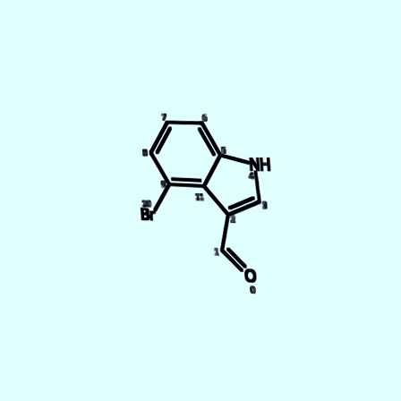 O=Cc1c[nH]c2cccc(Br)c12